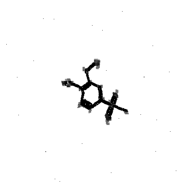 CCOc1cc(S(C)(=O)=O)ccc1N